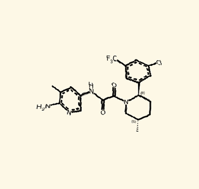 Cc1cc(NC(=O)C(=O)N2C[C@@H](C)CC[C@@H]2c2cc(Cl)cc(C(F)(F)F)c2)cnc1N